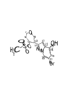 CS(=O)(=O)OC1CCOCC1c1cc2c(O)cc(Br)cn2n1